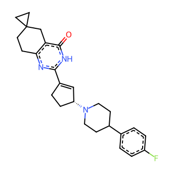 O=c1[nH]c(C2=C[C@H](N3CCC(c4ccc(F)cc4)CC3)CC2)nc2c1CC1(CC2)CC1